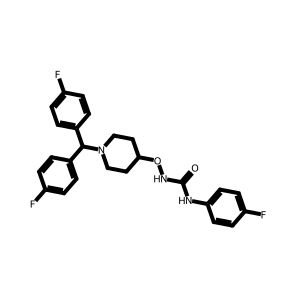 O=C(NOC1CCN(C(c2ccc(F)cc2)c2ccc(F)cc2)CC1)Nc1ccc(F)cc1